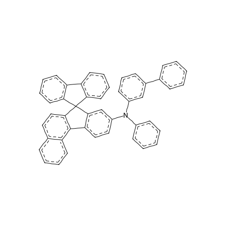 c1ccc(-c2cccc(N(c3ccccc3)c3ccc4c(c3)C3(c5ccccc5-c5ccccc53)c3ccc5ccccc5c3-4)c2)cc1